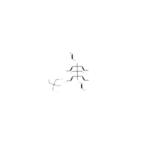 O=C(O)C=COC(C=CC(=O)O)(C=CC(=O)O)C(CO)(CO)C(C=CC(=O)O)(C=CC(=O)O)OC=CC(=O)O.OCC(CO)(CO)CO